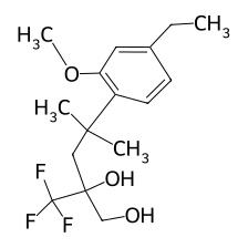 CCc1ccc(C(C)(C)CC(O)(CO)C(F)(F)F)c(OC)c1